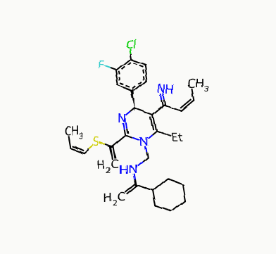 C=C(S/C=C\C)C1=N[C@@H](c2ccc(Cl)c(F)c2)C(C(=N)/C=C\C)=C(CC)N1CNC(=C)C1CCCCC1